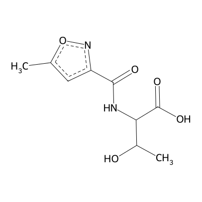 Cc1cc(C(=O)NC(C(=O)O)C(C)O)no1